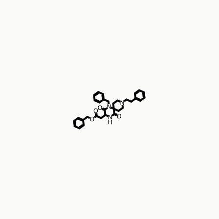 O=C(CC1NC(=O)C2(CCN(CCc3ccccc3)CC2)N(Cc2ccccc2)C1=O)OCc1ccccc1